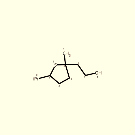 CC(C)C1CCC(C)(CCO)S1